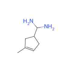 CC1=CCC(C(N)N)C1